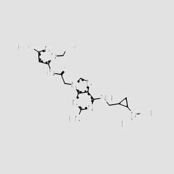 CCn1nc(C)cc1NC(=O)Cn1cnc2c(NCC3CC3N(C)C)nc(N)nc21